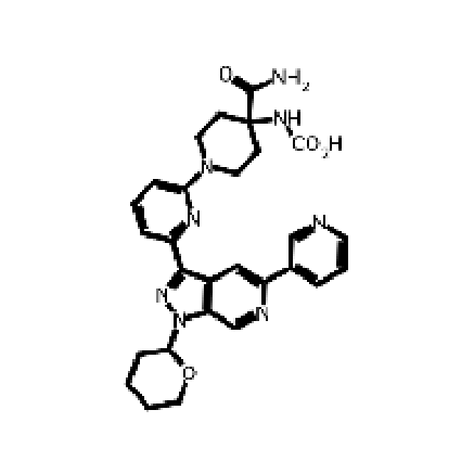 NC(=O)C1(NC(=O)O)CCN(c2cccc(-c3nn(C4CCCCO4)c4cnc(-c5cccnc5)cc34)n2)CC1